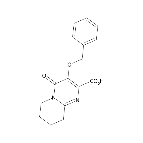 O=C(O)c1nc2n(c(=O)c1OCc1ccccc1)CCCC2